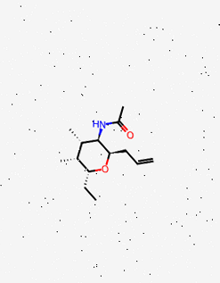 C=CC[C@H]1O[C@H](CC)[C@H](C)[C@H](C)[C@H]1NC(C)=O